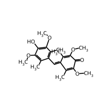 COC1=C(C)C(=Cc2c(C)c(OC)c(O)c(OC)c2C)C(C)=C(OC)C1=O